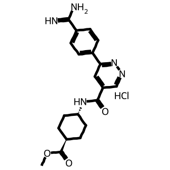 COC(=O)[C@H]1CC[C@H](NC(=O)c2cnnc(-c3ccc(C(=N)N)cc3)c2)CC1.Cl